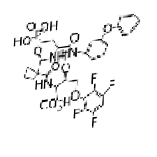 O=C(O)CC(NC(=O)C1(C(=O)NC(CCP(=O)(O)O)C(=O)Nc2cccc(Oc3ccccc3)c2)CCC1)C(=O)COc1c(F)c(F)cc(F)c1F